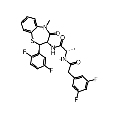 C[C@H](NC(=O)Cc1cc(F)cc(F)c1)C(=O)N[C@@H]1C(=O)N(C)c2ccccc2S[C@@H]1c1cc(F)ccc1F